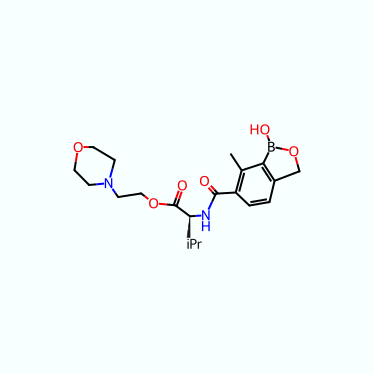 Cc1c(C(=O)N[C@H](C(=O)OCCN2CCOCC2)C(C)C)ccc2c1B(O)OC2